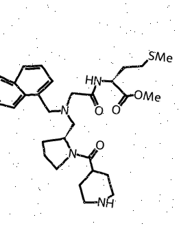 COC(=O)[C@H](CCSC)NC(=O)CN(Cc1cccc2ccccc12)C[C@@H]1CCCN1C(=O)C1CCNCC1